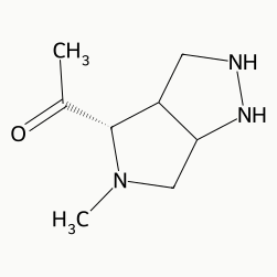 CC(=O)[C@@H]1C2CNNC2CN1C